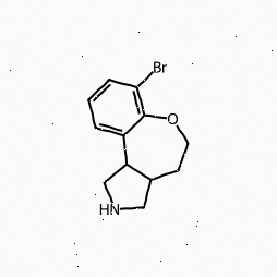 Brc1cccc2c1OCCC1CNCC21